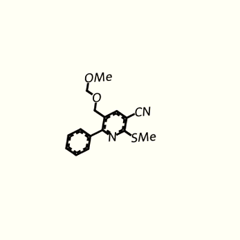 COCOCc1cc(C#N)c(SC)nc1-c1ccccc1